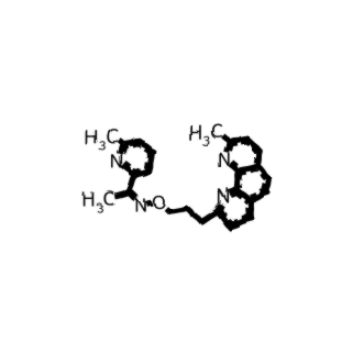 CC(=NOCCCc1ccc2ccc3ccc(C)nc3c2n1)c1cccc(C)n1